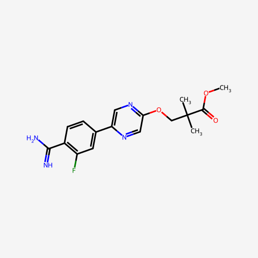 COC(=O)C(C)(C)COc1cnc(-c2ccc(C(=N)N)c(F)c2)cn1